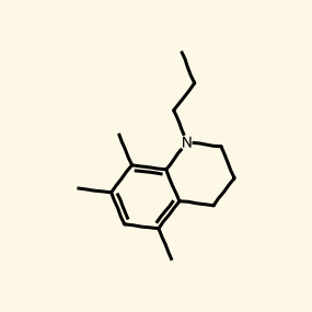 CCCN1CCCc2c(C)cc(C)c(C)c21